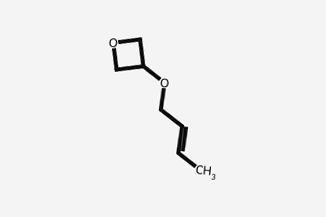 CC=CCOC1COC1